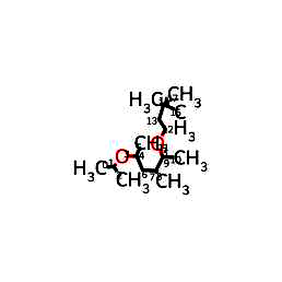 CC(C)OC(C)CC(C)C(C)OCCC(C)(C)C